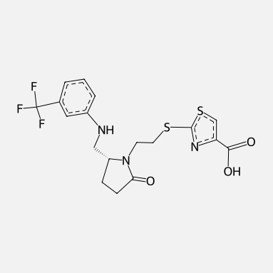 O=C(O)c1csc(SCCN2C(=O)CC[C@@H]2CNc2cccc(C(F)(F)F)c2)n1